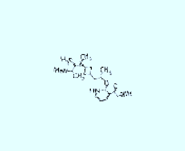 C=C(C(C)NC)N(C)C1CC(C[C@H](C)OC2NC=CC=C2C(=O)CNC)C1